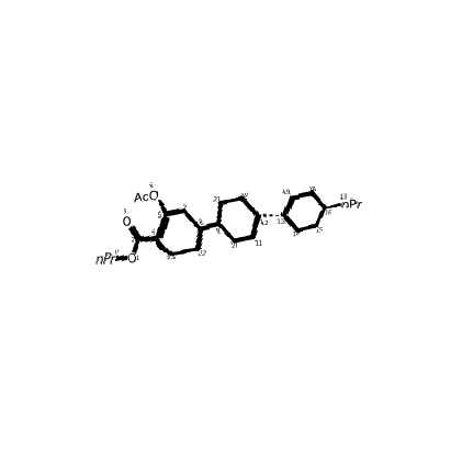 CCCOC(=O)C1=C(OC(C)=O)CC(C2CCC([C@H]3CC[C@H](CCC)CC3)CC2)CC1